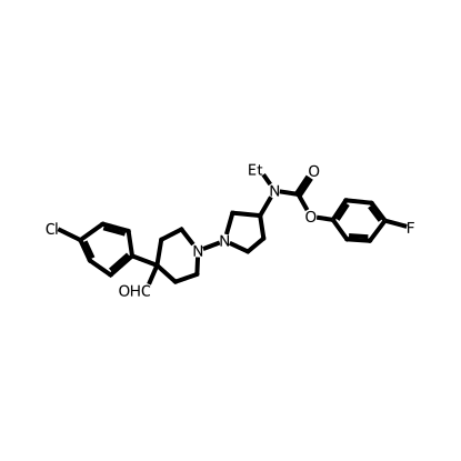 CCN(C(=O)Oc1ccc(F)cc1)C1CCN(N2CCC(C=O)(c3ccc(Cl)cc3)CC2)C1